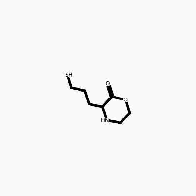 O=C1OCCNC1CCCS